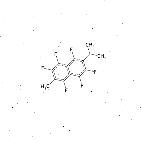 Cc1c(F)c(F)c2c(F)c(C(C)C)c(F)c(F)c2c1F